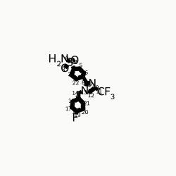 NS(=O)(=O)c1ccc(-c2nc(C(F)(F)F)cn2Cc2ccc(F)cc2)cc1